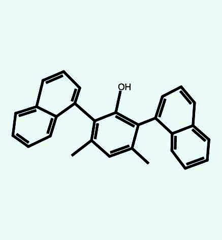 Cc1cc(C)c(-c2cccc3ccccc23)c(O)c1-c1cccc2ccccc12